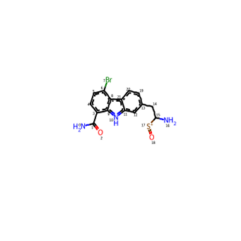 NC(=O)c1ccc(Br)c2c1[nH]c1cc(CC(N)[S+]=O)ccc12